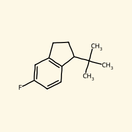 CC(C)(C)C1CCc2cc(F)ccc21